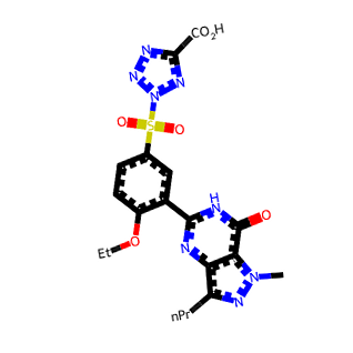 CCCc1nn(C)c2c(=O)[nH]c(-c3cc(S(=O)(=O)n4nnc(C(=O)O)n4)ccc3OCC)nc12